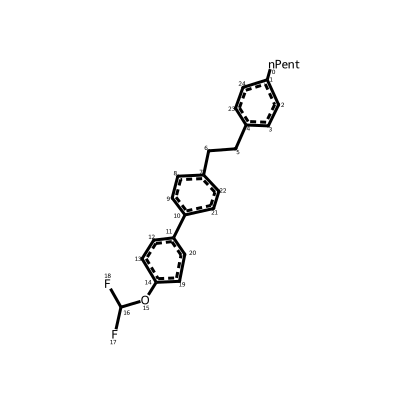 CCCCCc1ccc(CCc2ccc(-c3ccc(OC(F)F)cc3)cc2)cc1